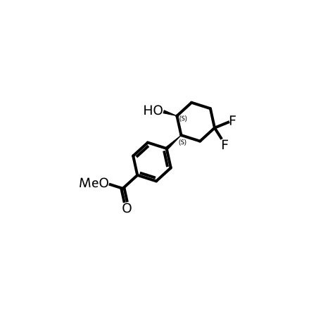 COC(=O)c1ccc([C@@H]2CC(F)(F)CC[C@@H]2O)cc1